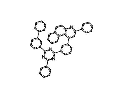 c1ccc(-c2cccc(-c3nc(-c4ccccc4)nc(-c4cccc(-c5cc(-c6ccccc6)nc6ccc7ccccc7c56)c4)n3)c2)cc1